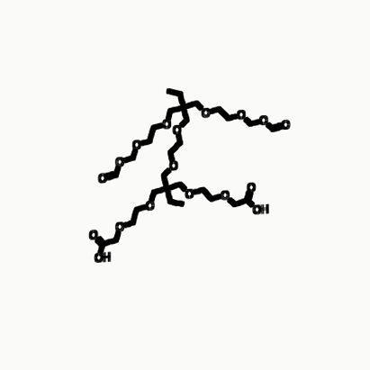 CCC(COCCOCOC=O)(COCCOCOC=O)COCCOCC(CC)(COCCOCC(=O)O)COCCOCC(=O)O